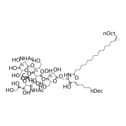 CCCCCCCC/C=C\CCCCCCCCCCCCCC(=O)N[C@@H](CO[C@@H]1OC(CO)[C@@H](O[C@@H]2OC(CO)[C@H](O[C@@H]3OC(CO)[C@H](O)[C@H](O)C3NC(C)=O)[C@H](O[C@]3(C(=O)O)CC(O)[C@@H](NC(C)=O)C([C@H](O)[C@H](O)CO)O3)C2O)[C@H](O)C1O)[C@H](O)/C=C/CCCCCCCCCCCCC